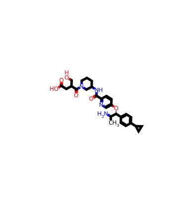 CC(N)[C@H](Oc1ccc(C(=O)NC2CCCN(C(=O)C(CO)CC(=O)O)C2)nc1)c1ccc(C2CC2)cc1